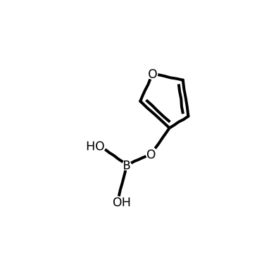 OB(O)Oc1ccoc1